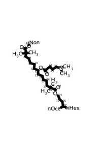 CCCCCCCCCOC(=O)C(C)(C)CCCCCC(CCCCCC(C)(C)C(=O)OCCCC(CCCCCC)CCCCCCCC)OC(=O)CCCN(C)C